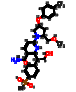 CCS(=O)(=O)c1ccc([C@@H](CO)c2nc(N3C[C@@H](Oc4ccc(C(F)(F)F)cc4)C[C@H]3COC(F)(F)F)ccc2C(N)=O)cc1